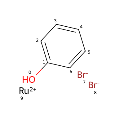 Oc1ccccc1.[Br-].[Br-].[Ru+2]